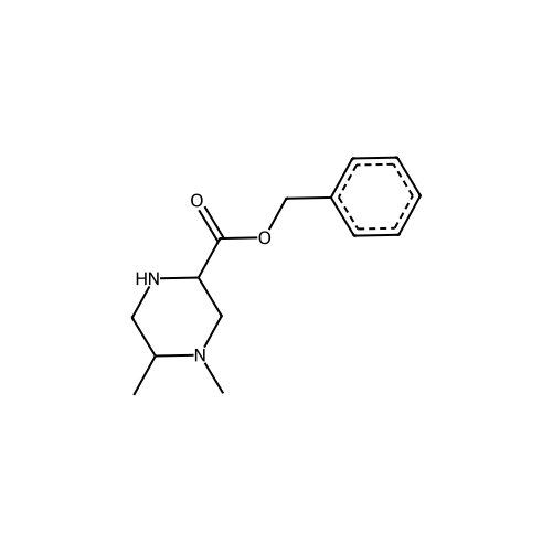 CC1CNC(C(=O)OCc2ccccc2)CN1C